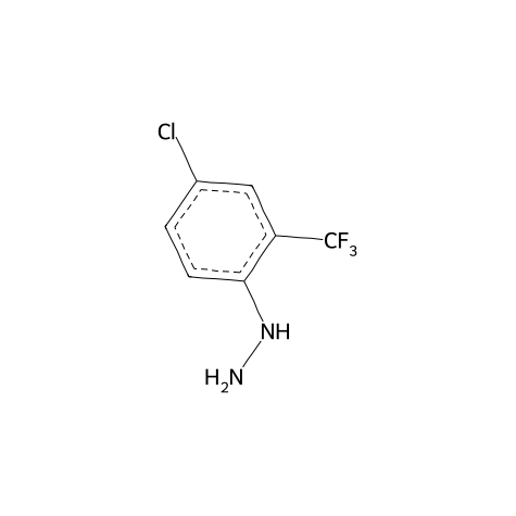 NNc1ccc(Cl)cc1C(F)(F)F